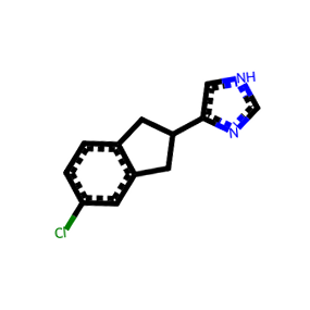 Clc1ccc2c(c1)CC(c1c[nH]cn1)C2